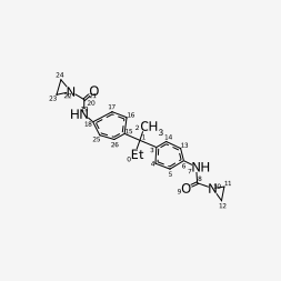 CCC(C)(c1ccc(NC(=O)N2CC2)cc1)c1ccc(NC(=O)N2CC2)cc1